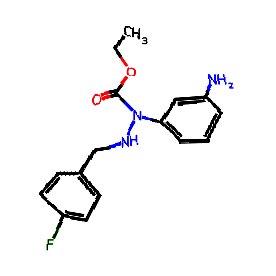 CCOC(=O)N(NCc1ccc(F)cc1)c1cccc(N)c1